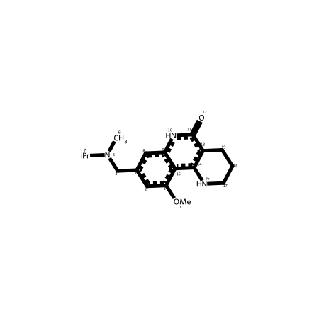 COc1cc(CN(C)C(C)C)cc2[nH]c(=O)c3c(c12)NCCC3